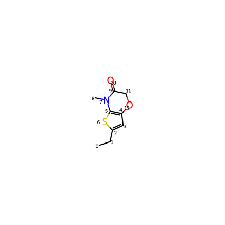 CCc1cc2c(s1)N(C)C(=O)CO2